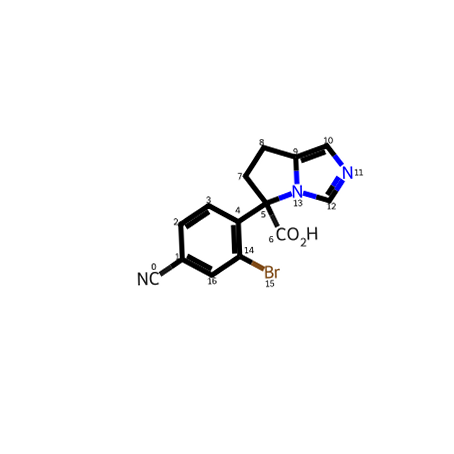 N#Cc1ccc(C2(C(=O)O)CCc3cncn32)c(Br)c1